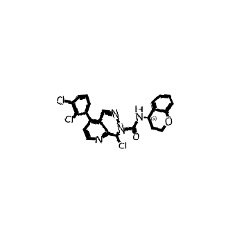 O=C(N[C@H]1CCOc2ccccc21)N1N=Cc2c(-c3cccc(Cl)c3Cl)ccnc2C1Cl